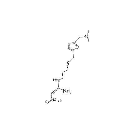 CN(C)Cc1ccc(CSCCCN/C(N)=C/[N+](=O)[O-])o1